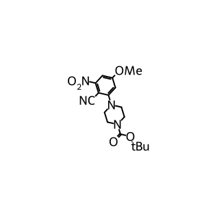 COc1cc(N2CCN(C(=O)OC(C)(C)C)CC2)c(C#N)c([N+](=O)[O-])c1